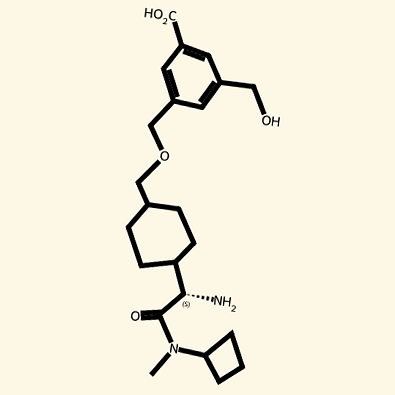 CN(C(=O)[C@@H](N)C1CCC(COCc2cc(CO)cc(C(=O)O)c2)CC1)C1CCC1